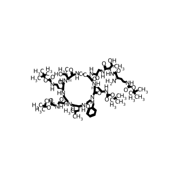 CC(C)C[C@@H]1NC(=O)[C@@H](Cc2ccccc2)NC(=O)[C@H](CCNC(=O)OC(C)(C)C)NC(=O)[C@@H](NC(=O)CNC(=O)[C@@H](NC(=O)[C@@H](N)CCNC(=O)OC(C)(C)C)[C@@H](C)O)CCNC(=O)[C@H]([C@@H](C)O)NC(=O)[C@H](CCNC(=O)OC(C)(C)C)NC(=O)[C@H](CCNC(=O)OC(C)(C)C)NC1=O